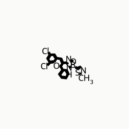 Cc1ncc(B2NC(C3=Cc4cc(Cl)cc(Cl)c4OC3c3ccccc3)=NO2)s1